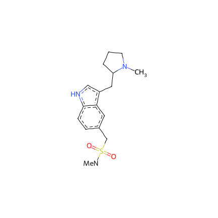 CNS(=O)(=O)Cc1ccc2[nH]cc(CC3CCCN3C)c2c1